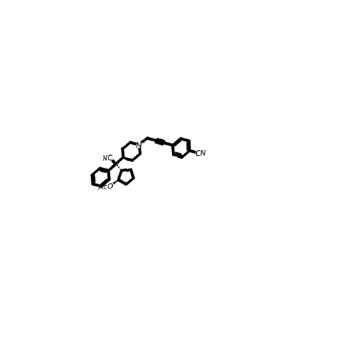 CC(=O)O[C@@H]1CCC[C@H]1C(C#N)(c1ccccc1)C1CCN(CC#Cc2ccc(C#N)cc2)CC1